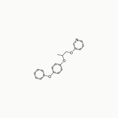 CC(COc1cccnc1)Oc1ccc(Oc2ccccc2)cc1